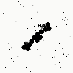 CN1c2ccccc2C2(CCCC2)c2ccc(-c3ccc(-c4ccc5c(c4)C4(c6ccccc6-c6ccccc64)c4cc(-c6ccc(-c7ccc8c(c7)N(C)c7ccccc7C87CCCC7)cc6)ccc4-5)cc3)cc21